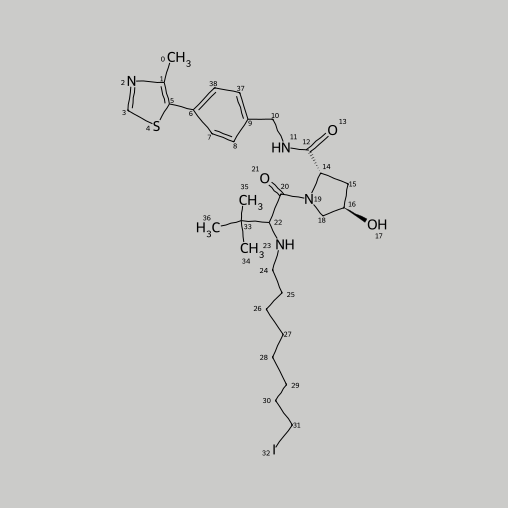 Cc1ncsc1-c1ccc(CNC(=O)[C@@H]2C[C@@H](O)CN2C(=O)C(NCCCCCCCCI)C(C)(C)C)cc1